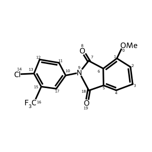 COc1cccc2c1C(=O)N(c1ccc(Cl)c(C(F)(F)F)c1)C2=O